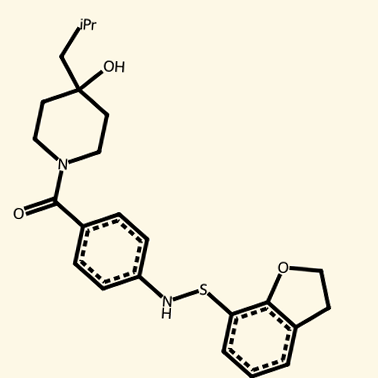 CC(C)CC1(O)CCN(C(=O)c2ccc(NSc3cccc4c3OCC4)cc2)CC1